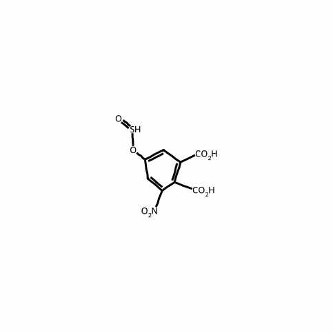 O=[SH]Oc1cc(C(=O)O)c(C(=O)O)c([N+](=O)[O-])c1